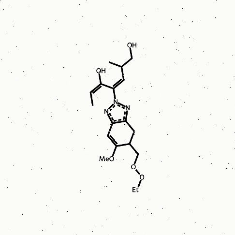 C/C=C(O)\C(=C/C(C)CO)n1nc2c(n1)CC(COOCC)C(OC)=C2